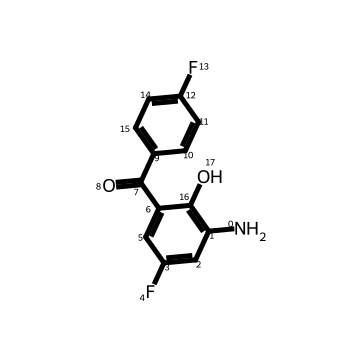 Nc1cc(F)cc(C(=O)c2ccc(F)cc2)c1O